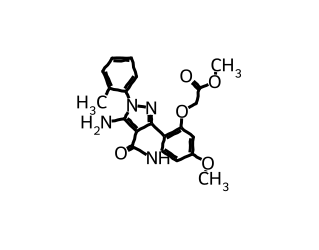 COC(=O)COc1cc(OC)cc2[nH]c(=O)c3c(N)n(-c4ccccc4C)nc3c12